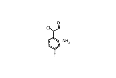 N.O=CC(Cl)c1ccc(F)cc1